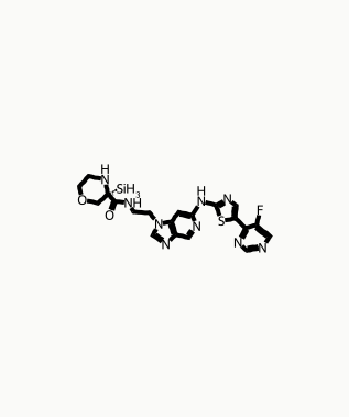 O=C(NCCn1cnc2cnc(Nc3ncc(-c4ncncc4F)s3)cc21)[C@@]1([SiH3])COCCN1